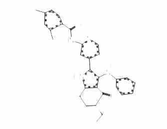 CC[C@H]1CCc2[nH]c(-c3ccnc(NC(=O)c4ccc(F)cc4C)c3)c(Nc3ccccc3)c2C1=O